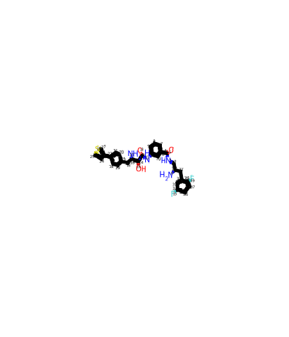 NC(CNC(=O)c1cccc(NC(=O)C(O)C(N)Cc2ccc(-c3ccsc3)cc2)c1)Cc1cc(F)ccc1F